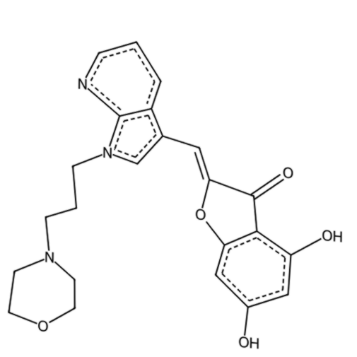 O=C1/C(=C/c2cn(CCCN3CCOCC3)c3ncccc23)Oc2cc(O)cc(O)c21